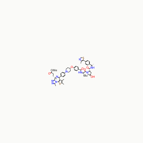 COC(=O)CC[C@@H]1N=C(c2ccc(N3CCC(Oc4ccc(C(=O)N[C@H](C(=O)N5C[C@H](O)C[C@H]5C(=O)N[C@@H](C)c5ccc(-c6scnc6C)cc5)C(C)(C)C)cc4)CC3)cc2)c2c(sc(C)c2C)-n2c(C)nnc21